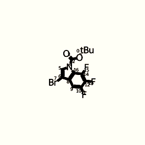 CC(C)(C)OC(=O)n1cc(Br)c2cc(F)c(F)c(F)c21